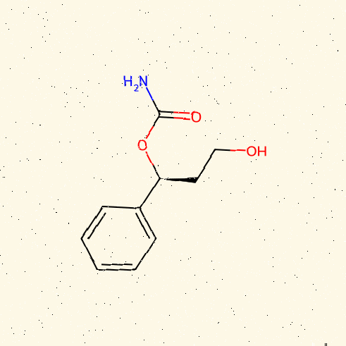 NC(=O)O[C@@H](CCO)c1ccccc1